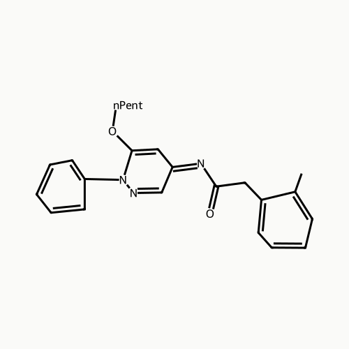 CCCCCOc1cc(=NC(=O)Cc2ccccc2C)cnn1-c1ccccc1